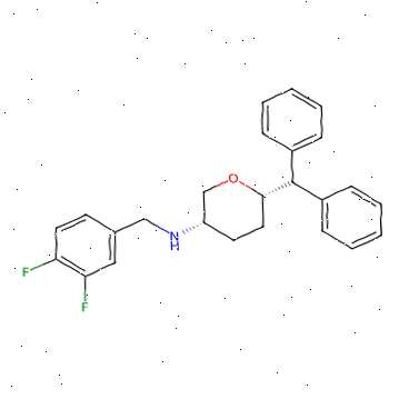 Fc1ccc(CN[C@H]2CC[C@@H](C(c3ccccc3)c3ccccc3)OC2)cc1F